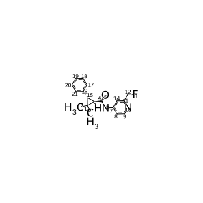 CC1(C)[C@H](C(=O)Nc2ccnc(CF)c2)[C@H]1c1ccccc1